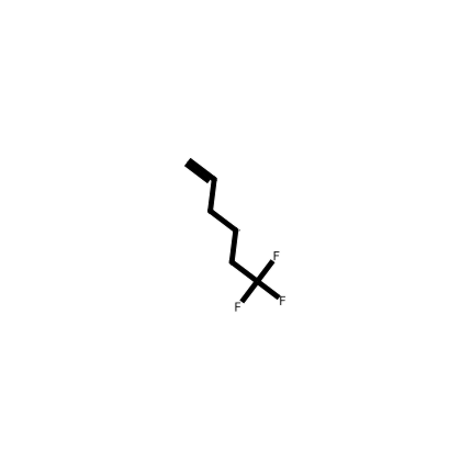 C=CC[CH]CC(F)(F)F